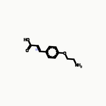 NCCOc1ccc(/C=C/C(=O)O)cc1